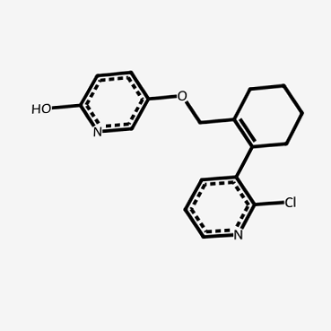 Oc1ccc(OCC2=C(c3cccnc3Cl)CCCC2)cn1